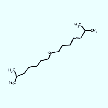 CC(C)CCCC[CH2][Sn][CH2]CCCCC(C)C